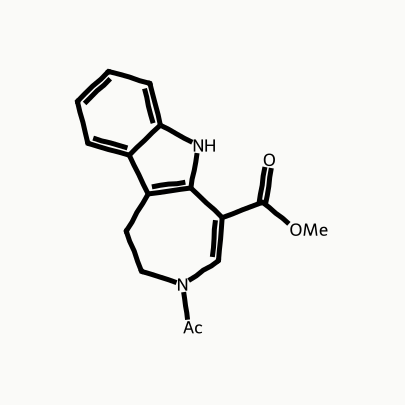 COC(=O)C1=CN(C(C)=O)CCc2c1[nH]c1ccccc21